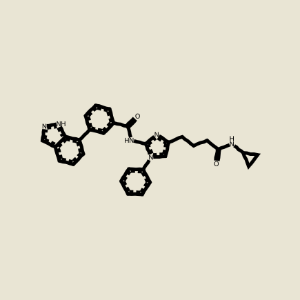 O=C(CCCc1cn(-c2ccccc2)c(NC(=O)c2cccc(-c3cccc4cn[nH]c34)c2)n1)NC1CC1